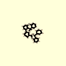 CC1(C)c2ccccc2Sc2cccc(-c3cccc(-c4nc(-c5ccccc5)c5ccccc5n4)c3)c21